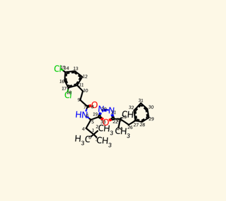 CC(C)(C)CC(NC(=O)CCc1ccc(Cl)cc1Cl)c1nnc(C(C)(C)Cc2ccccc2)o1